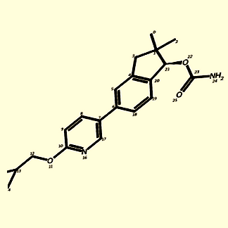 CC1(C)Cc2cc(-c3ccc(OCC4CC4)nc3)ccc2[C@@H]1OC(N)=O